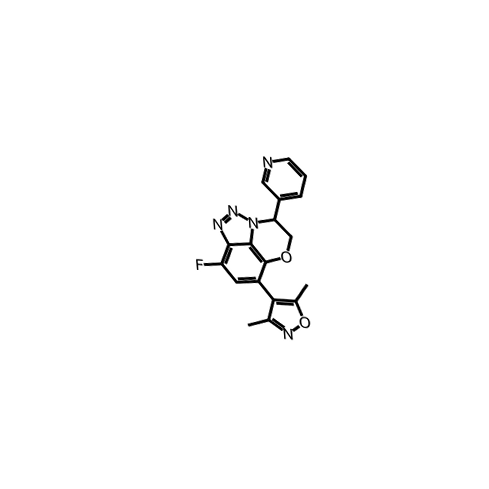 Cc1noc(C)c1-c1cc(F)c2nnn3c2c1OCC3c1cccnc1